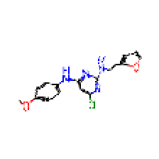 COc1ccc(Nc2cc(Cl)nc(NCc3ccco3)n2)cc1